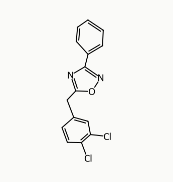 Clc1ccc(Cc2nc(-c3ccccc3)no2)cc1Cl